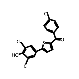 O=C(c1ccc(Cl)cc1)c1ccc(-c2cc(Cl)c(O)c(Cl)c2)s1